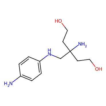 Nc1ccc(NCC(N)(CCO)CCO)cc1